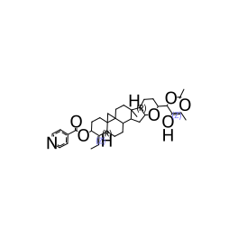 C/C=C(\O)C(OC(C)=O)C1CC[C@H]2C(CC3C4CC[C@H]5/C(=C/C)C(OC(=O)c6ccncc6)CCC56CC46CCC32C)O1